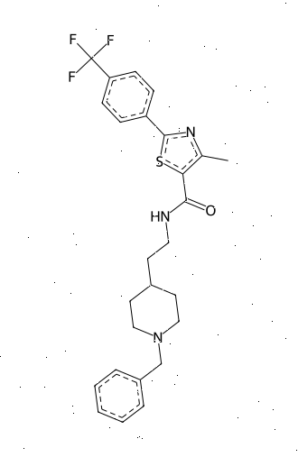 Cc1nc(-c2ccc(C(F)(F)F)cc2)sc1C(=O)NCCC1CCN(Cc2ccccc2)CC1